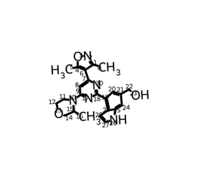 Cc1noc(C)c1-c1cc(N2CCOCC2C)nc(-c2cc(CO)cc3[nH]ccc23)n1